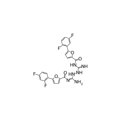 N=C(NNC(N)=NC(=O)c1ccc(-c2ccc(F)cc2F)o1)NC(=O)c1ccc(-c2cc(F)ccc2F)o1